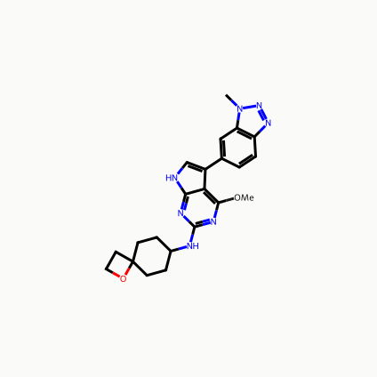 COc1nc(NC2CCC3(CCO3)CC2)nc2[nH]cc(-c3ccc4nnn(C)c4c3)c12